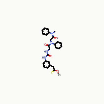 CCOC(=S)Cc1cccc(NC(=O)NCC(=O)N(CC(=O)N(C)c2ccccc2)c2ccccc2)c1